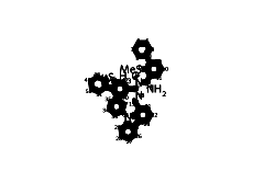 CSc1c(C2=CC=CCC2)cccc1C(N)N(C)C(/N=C/c1cccc2c3ccccc3n(-c3ccccc3)c12)c1ccc2c3c(sc2c1)CCC=C3